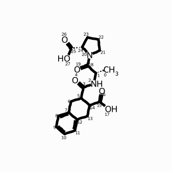 C[C@H](NC(=O)C1Cc2ccccc2CC1C(=O)O)C(=O)N1CCC[C@H]1C(=O)O